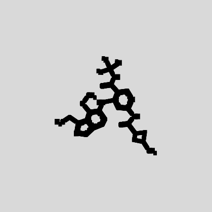 [2H]C([2H])([2H])NC(=O)c1cnc(NC(=O)C2CC(C)C2)cc1Nc1ccc2cnn(CC)c2c1OC